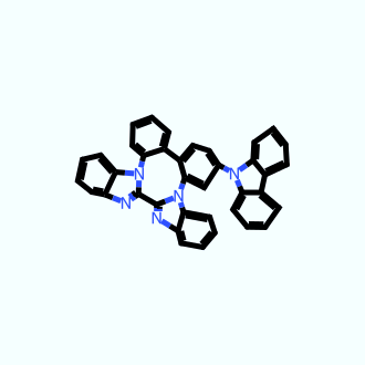 c1ccc2c(c1)nc1c3nc4ccccc4n3c3cc(-n4c5ccccc5c5ccccc54)ccc3c3ccccc3n21